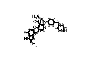 Cc1cc2c(F)c(Oc3ncnc(NC4C=CC(CN5CCNCC5)=CC4)c3C(=O)N(C)C)cc(F)c2[nH]1